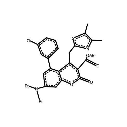 CCN(CC)c1cc(-c2cccc(Cl)c2)c2c(Cc3nc(C)c(C)s3)c(C(=O)OC)c(=O)oc2c1